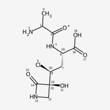 CC(N)C(=O)N[C@@H](C[C@H](Cl)[C@]1(O)CNC1=O)C(=O)O